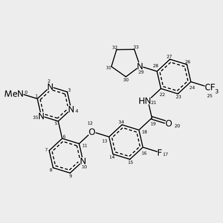 CNc1ncnc(-c2cccnc2Oc2ccc(F)c(C(=O)Nc3cc(C(F)(F)F)ccc3N3CCCC3)c2)n1